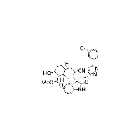 COC(=O)[C@@H]1[C@H]2C[C@@H]([C@@]3(CCn4cc(-c5cccc(Cl)c5)nn4)C(=O)Nc4ccccc43)N(C#N)C[C@@H]2CC[C@@H]1O